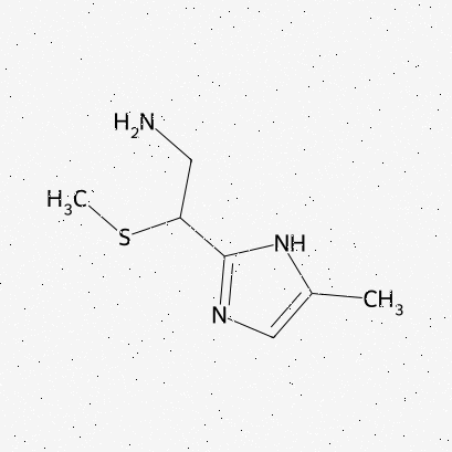 CSC(CN)c1ncc(C)[nH]1